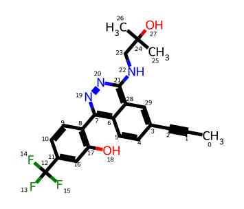 CC#Cc1ccc2c(-c3ccc(C(F)(F)F)cc3O)nnc(NCC(C)(C)O)c2c1